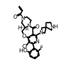 C=CC(=O)N1CCN2C(=O)c3c(N4CC5(CCNC5)C4)nc(-c4c(O)cccc4F)c(Cl)c3OC[C@H]2C1